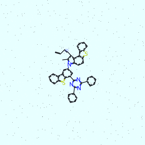 C=C/C=C\c1c(C)n(-c2cc(-c3nc(-c4ccccc4)nc(-c4ccccc4)n3)c3sc4ccccc4c3c2)c2ccc3sc4ccccc4c3c12